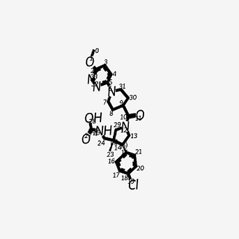 COc1ccc(N2CCC(C(=O)N3C[C@@H](c4ccc(Cl)cc4)[C@](C)(CNC(=O)O)C3)CC2)nn1